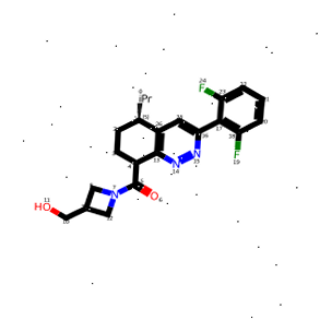 CC(C)[C@@H]1CCC(C(=O)N2CC(CO)C2)c2nnc(-c3c(F)cccc3F)cc21